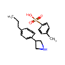 CCCc1ccc(C2CNC2)cc1.Cc1ccc(S(=O)(=O)O)cc1